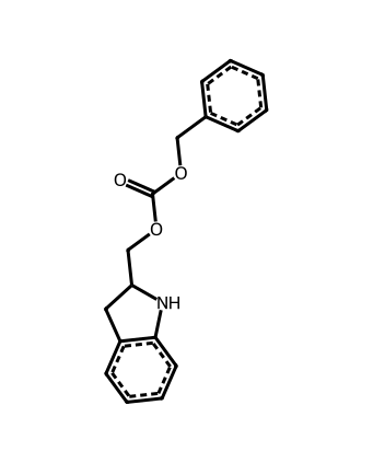 O=C(OCc1ccccc1)OCC1Cc2ccccc2N1